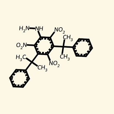 CC(C)(c1ccccc1)c1c([N+](=O)[O-])c(NN)c([N+](=O)[O-])c(C(C)(C)c2ccccc2)c1[N+](=O)[O-]